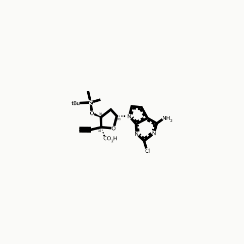 C#C[C@]1(C(=O)O)O[C@@H](n2ccc3c(N)nc(Cl)nc32)C[C@@H]1O[Si](C)(C)C(C)(C)C